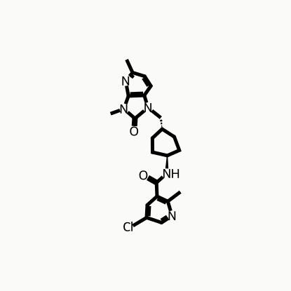 Cc1ccc2c(n1)n(C)c(=O)n2C[C@H]1CC[C@H](NC(=O)c2cc(Cl)cnc2C)CC1